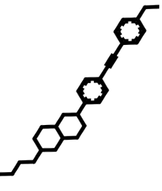 CCCCC1CCC2CC(c3ccc(C#Cc4ccc(CC)cc4)cc3)CCC2C1